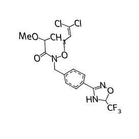 COC(C)C(=O)N(Cc1ccc(C2=NOC(C(F)(F)F)N2)cc1)OCC=C(Cl)Cl